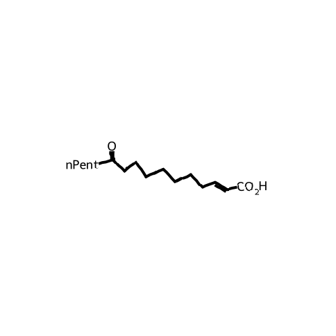 CCCCCC(=O)CCCCCCCC=CC(=O)O